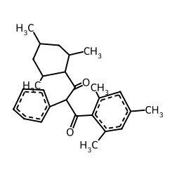 Cc1cc(C)c(C(=O)C(C(=O)C2C(C)CC(C)CC2C)c2ccccc2)c(C)c1